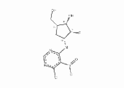 O=[N+]([O-])c1c(Cl)ncnc1N[C@@H]1C[C@H](CO)[C@@H](O)[C@H]1F